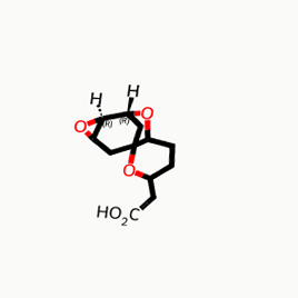 O=C(O)CC1CCC2O[C@@H]3CC2(CC2O[C@H]23)O1